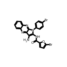 Nc1c(NC(=O)c2ccc(Br)o2)n(-c2ccc(Br)cc2)c2nc3ccccc3nc12